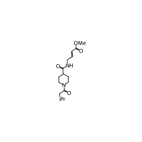 COC(=O)/C=C/CNC(=O)C1CCN(C(=O)CC(C)C)CC1